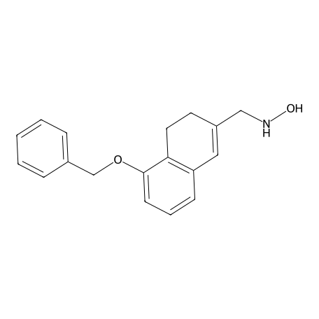 ONCC1=Cc2cccc(OCc3ccccc3)c2CC1